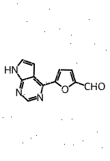 O=Cc1ccc(-c2ncnc3[nH]ccc23)o1